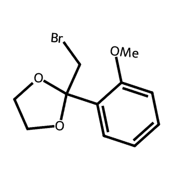 COc1ccccc1C1(CBr)OCCO1